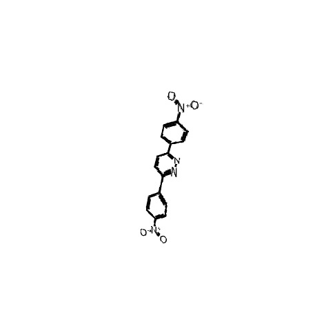 O=[N+]([O-])c1ccc(-c2ccc(-c3ccc([N+](=O)[O-])cc3)nn2)cc1